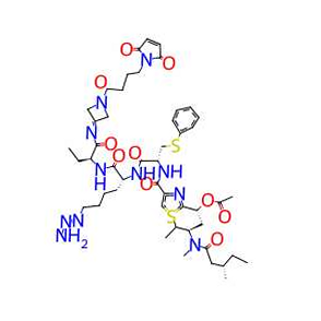 CC[C@H](C)CC(=O)N(C)[C@H](C[C@@H](OC(C)=O)c1nc(C(=O)N[C@@H](CSc2ccccc2)C(=O)N[C@H](CCCCN=NN)C(=O)N[C@@H](CC)C(=O)N=C2CN(C(=O)CCCN3C(=O)C=CC3=O)C2)cs1)C(C)C